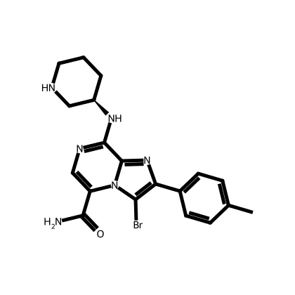 Cc1ccc(-c2nc3c(N[C@@H]4CCCNC4)ncc(C(N)=O)n3c2Br)cc1